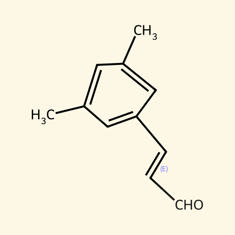 Cc1cc(C)cc(/C=C/C=O)c1